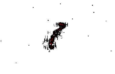 Cn1cc(NC(=O)c2nc(NC(=O)CCNC(=O)c3cc(NC(=O)c4nccn4C)cn3C)cn2C)cc1C(=O)NCCCC(=O)Nc1cn(C)c(C(=O)NCCC(=O)Nc2cc(C(=O)Nc3cn(C)c(C(=O)NCCC(=O)NCCOCCOCCOCCOCCOCCOCCn4cc(CC(=O)Nc5ccc(C(=O)Nc6ccccc6NC(=O)OC(C)(C)C)cc5)nn4)n3)n(C)c2)n1